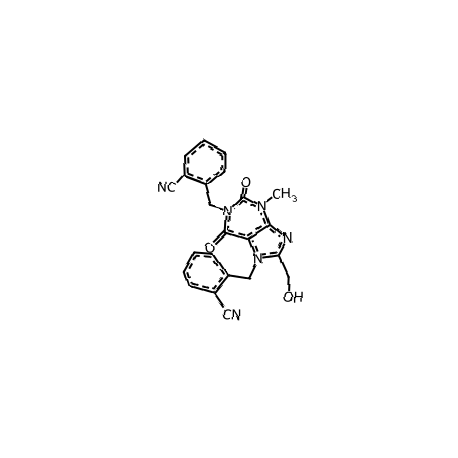 Cn1c(=O)n(Cc2ccccc2C#N)c(=O)c2c1nc(CO)n2Cc1ccccc1C#N